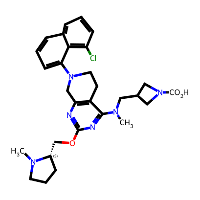 CN(CC1CN(C(=O)O)C1)c1nc(OC[C@@H]2CCCN2C)nc2c1CCN(c1cccc3cccc(Cl)c13)C2